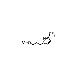 COCCCn1ccc(C(F)(F)F)n1